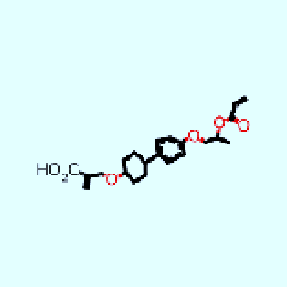 C=CC(=O)OC(C)COc1ccc(C2CCC(OCC(=C)C(=O)O)CC2)cc1